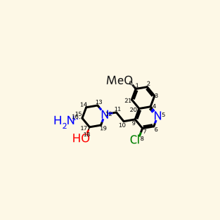 COc1ccc2ncc(Cl)c(CCN3CC[C@@H](N)[C@H](O)C3)c2c1